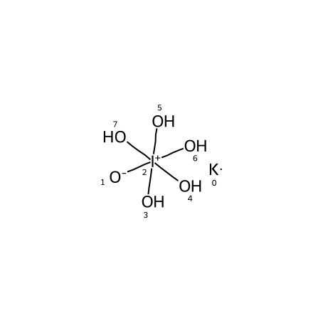 [K].[O-][I+](O)(O)(O)(O)O